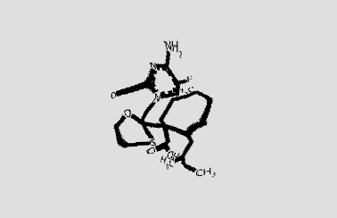 CC1CCC(C(C)C)C(C(=O)O)(C2(n3cc(F)c(N)nc3=O)OCCS2)C1